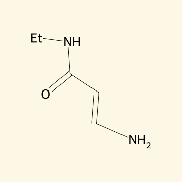 CCNC(=O)/C=C/N